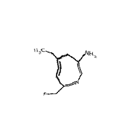 CC1=CC(CF)=NC=C(N)C1